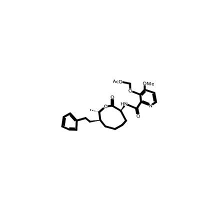 COc1ccnc(C(=O)N[C@H]2CCCC[C@@H](CCc3ccccc3)[C@H](C)OC2=O)c1OCOC(C)=O